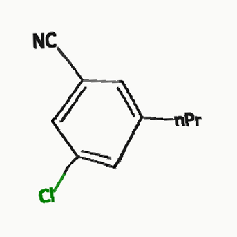 CCCc1cc(Cl)cc(C#N)c1